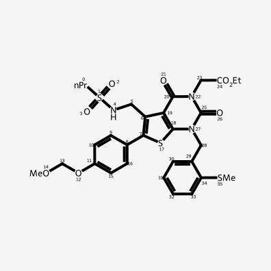 CCCS(=O)(=O)NCc1c(-c2ccc(OCOC)cc2)sc2c1c(=O)n(CC(=O)OCC)c(=O)n2Cc1ccccc1SC